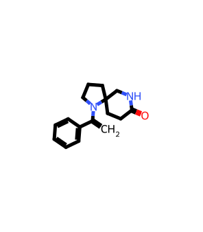 C=C(c1ccccc1)N1CCCC12CCC(=O)NC2